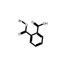 O=C(O)c1ccccc1C(=O)OBr